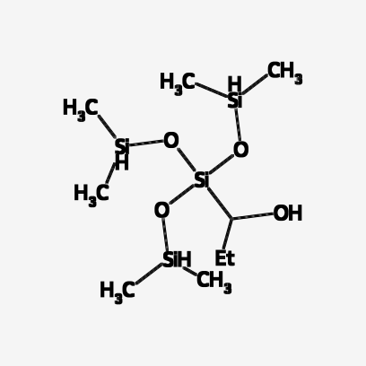 CCC(O)[Si](O[SiH](C)C)(O[SiH](C)C)O[SiH](C)C